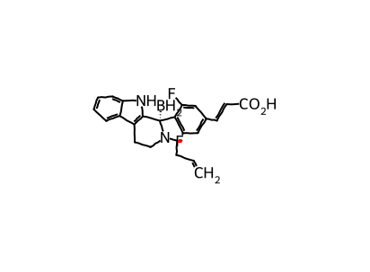 B[C@@]1(c2c(F)cc(/C=C/C(=O)O)cc2F)c2[nH]c3ccccc3c2CCN1CCC=C